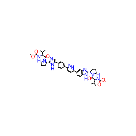 COC(=O)N[C@H](C(=O)N1CCC[C@H]1c1ncc(-c2ccc(-c3ccc(-c4ccc5[nH]c([C@@H]6CCCN6C(=O)[C@@H](NC(=O)OC)C(C)C)nc5c4)nn3)cc2)[nH]1)C(C)C